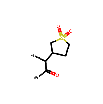 CCC(C(=O)C(C)C)C1CCS(=O)(=O)C1